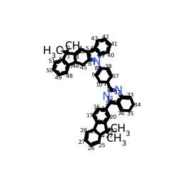 CC1(C)C2=Cc3c(n(C4=CCC(c5nc(-c6ccc7c(c6)C(C)(C)C6C=CC=CC76)c6c(n5)=CCCC=6)C=C4)c4ccccc34)CC2c2ccccc21